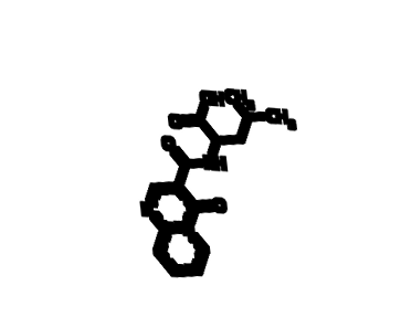 CC(C)CC(NC(=O)c1cnc2ccccn2c1=O)C(=O)O